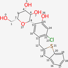 OC[C@@H]1C[C@H](O)C(O)[C@H](c2cc(Cc3cc4ccccc4s3)c(Cl)cc2O)O1